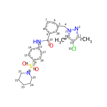 Cc1nn(Cc2cccc(C(=O)Nc3ccc(S(=O)(=O)N4CCCCC4)cc3)c2)c(C)c1Cl